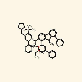 C=CC(C)C[C@@H]1C2=C(CCC=C2)C2C=C(CC3CCCC3)C([Si](C)(C)C)=CN2C1c1ccc2c(c1-c1cc(-c3ccccc3)cc[n+]1C)C(=C)c1c(C3=CCCC=C3)cccc1-2